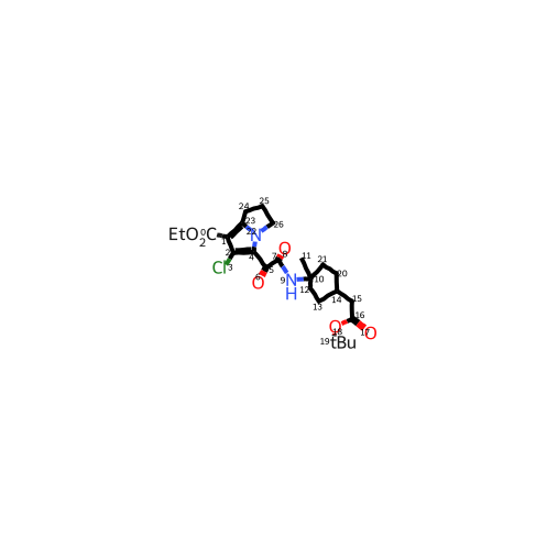 CCOC(=O)c1c(Cl)c(C(=O)C(=O)NC2(C)CCC(CC(=O)OC(C)(C)C)CC2)n2c1CCC2